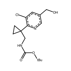 CC(C)(C)OC(=O)NCC1(c2ncc(CO)cc2Cl)CC1